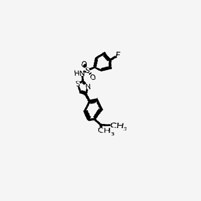 CC(C)c1ccc(-c2csc(NS(=O)(=O)c3ccc(F)cc3)n2)cc1